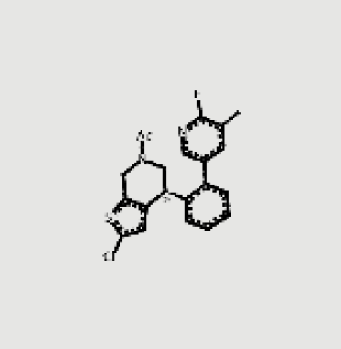 CC(=O)N1Cc2sc(Cl)cc2[C@H](c2ccccc2-c2cnc(F)c(C)c2)C1